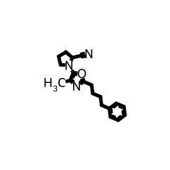 Cc1nc(CCCCc2ccccc2)oc1N1CCCC1C#N